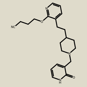 N#CCCCOc1ncccc1CCC1CCN(Cc2ccc[nH]c2=O)CC1